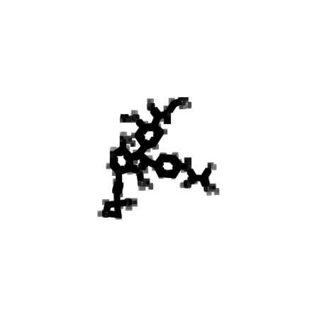 C=C(F)C(=O)Nc1ccc(-c2c(-c3ccc(C(=O)NCC(F)(F)F)c(OC)c3)c3c(N)ncc(C#CC4(O)COC4)c3n2C)cc1